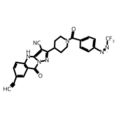 C#Cc1ccc2[nH]c3c(C#N)c(C4CCN(C(=O)c5ccc(/N=N\C(F)(F)F)cc5)CC4)nn3c(=O)c2c1